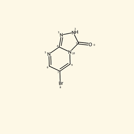 O=c1[nH]nc2ncc(Br)cn12